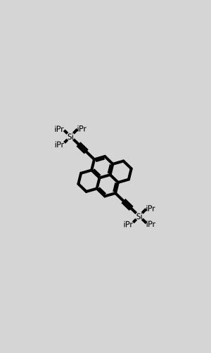 CC(C)[Si](C#Cc1cc2c3c(c(C#C[Si](C(C)C)(C(C)C)C(C)C)cc4c3c1CCC4)CCC2)(C(C)C)C(C)C